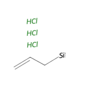 C=CC[Si].Cl.Cl.Cl